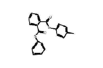 Cc1ccc(OC(=O)c2ccccc2C(=O)Oc2ccccc2)cc1